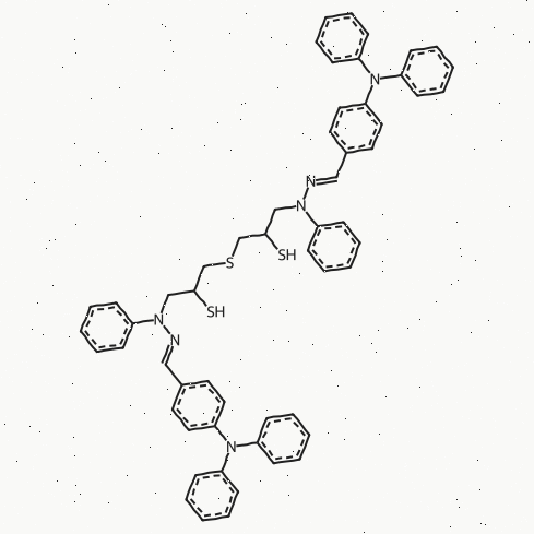 SC(CSCC(S)CN(/N=C/c1ccc(N(c2ccccc2)c2ccccc2)cc1)c1ccccc1)CN(/N=C/c1ccc(N(c2ccccc2)c2ccccc2)cc1)c1ccccc1